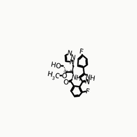 CO[C@H](CO)[C@@H](Cn1ccnn1)NC(=O)c1cccc(F)c1-c1cc(-c2ccc(F)cc2)[nH]n1